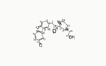 [O-][S+](Cc1ccc2oc3ccc(Cl)cc3c2c1)C1CN(CCO)CC[N]1